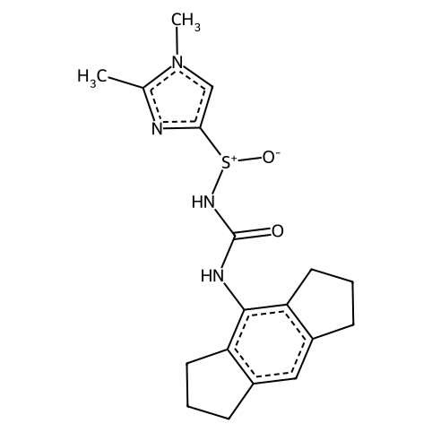 Cc1nc([S+]([O-])NC(=O)Nc2c3c(cc4c2CCC4)CCC3)cn1C